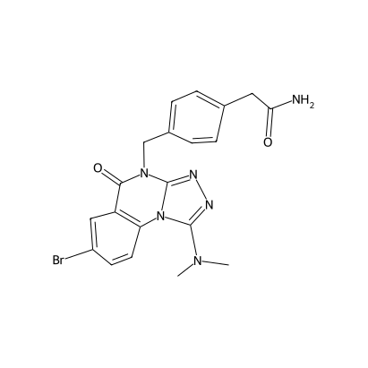 CN(C)c1nnc2n(Cc3ccc(CC(N)=O)cc3)c(=O)c3cc(Br)ccc3n12